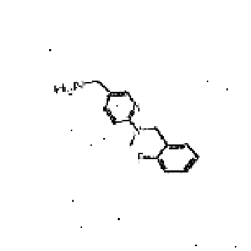 CN(Cc1ccccc1F)c1ccc(CN)cn1